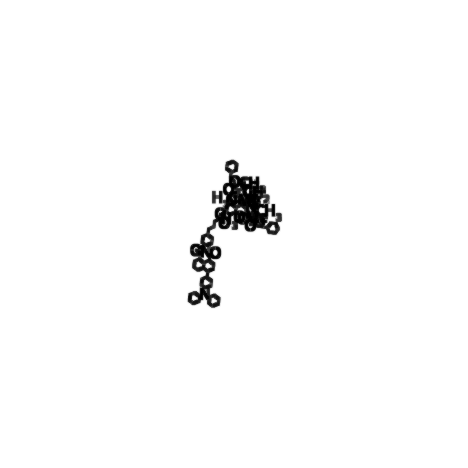 C=C(C)/C(C(=O)OCc1ccccc1)=C(/C)C1=C(c2c(OC)cc(OC(=O)CCCc3ccc(N4C(=O)c5cccc6c(-c7ccc(N(c8ccccc8)c8ccccc8)cc7)ccc(c56)C4=O)cc3)cc2OC)c2c(C)c(C(=O)OCc3ccccc3)c(C)n2[B-](F)(F)[NH2+]1